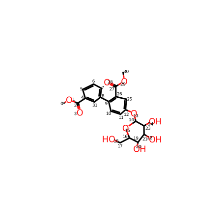 COC(=O)c1cccc(-c2ccc(OC3OC(CO)C(O)C(O)C3O)cc2C(=O)OC)c1